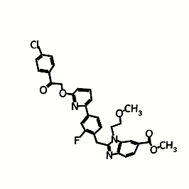 COCCn1c(Cc2ccc(-c3cccc(OCC(=O)c4ccc(Cl)cc4)n3)cc2F)nc2ccc(C(=O)OC)cc21